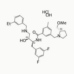 CCc1cccc(CNC[C@H](O)[C@H](Cc2cc(F)cc(F)c2)NC(=O)c2cc(C)cc(CN3CCC[C@H]3COC)c2)c1.Cl.Cl